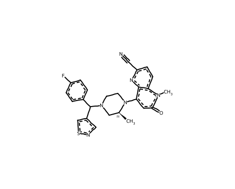 C[C@H]1CN(C(c2ccc(F)cc2)c2cnsc2)CCN1c1cc(=O)n(C)c2ccc(C#N)nc12